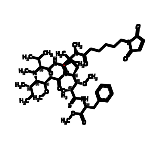 CC[C@H](C)[C@@H]([C@@H](CC(=O)N1CCC[C@H]1[C@H](OC)[C@@H](C)C(=S)N[C@@H](Cc1ccccc1)C(=O)OC)OC)N(C)[C@H](C(=O)NC(=O)C(C)(C)N(C)C(=O)CCCCCN1C(=O)C=CC1=O)C(C)C